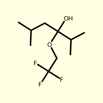 CC(C)CC(O)(OCC(F)(F)F)C(C)C